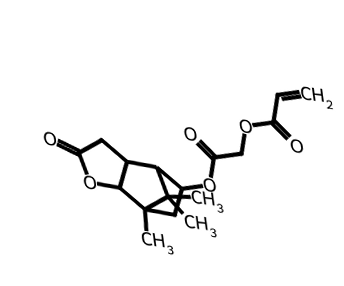 C=CC(=O)OCC(=O)OC1CC2(C)C3OC(=O)CC3C1C2(C)C